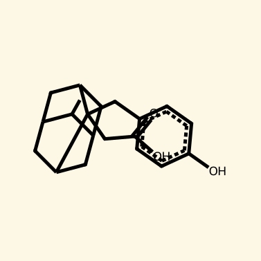 CC1C2CC3CC1CC(C2)C3(CC(=O)O)Cc1ccc(O)cc1